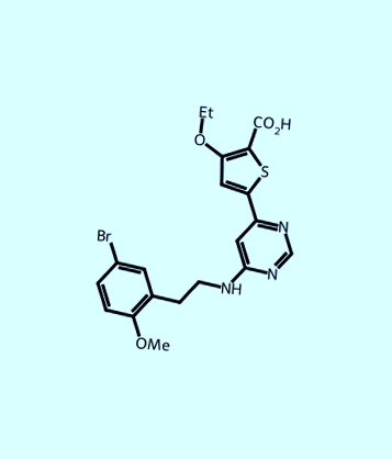 CCOc1cc(-c2cc(NCCc3cc(Br)ccc3OC)ncn2)sc1C(=O)O